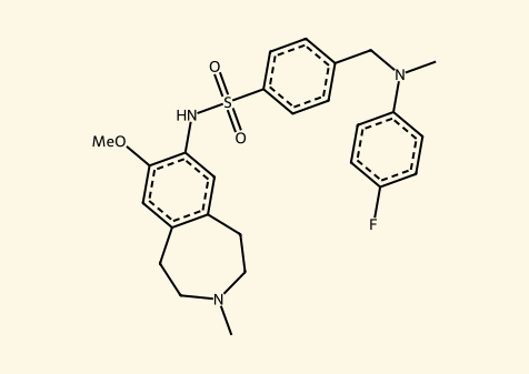 COc1cc2c(cc1NS(=O)(=O)c1ccc(CN(C)c3ccc(F)cc3)cc1)CCN(C)CC2